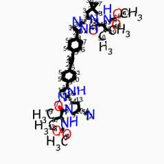 COC(=O)NC(C(=O)N1C[C@@H](C#N)C[C@H]1c1ncc(-c2ccc(C#Cc3ccc(-c4cnc([C@@H]5CC6(CC6)CN5C(=O)[C@@H](NC(=O)OC)C(C)C)[nH]4)cc3)cc2)[nH]1)C(C)C